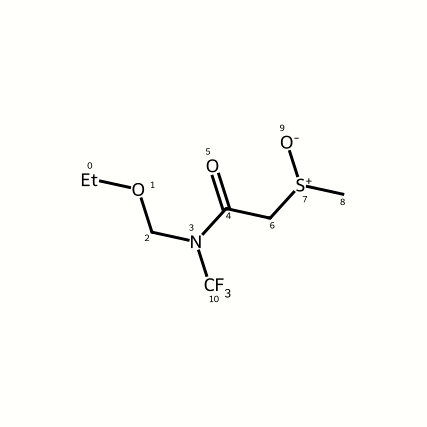 CCOCN(C(=O)C[S+](C)[O-])C(F)(F)F